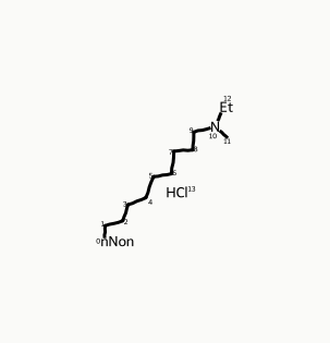 CCCCCCCCCCCCCCCCCCN(C)CC.Cl